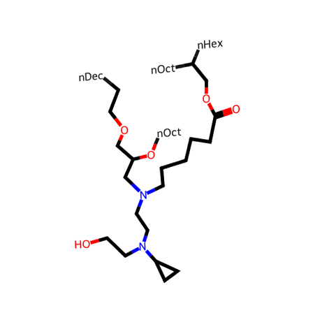 CCCCCCCCCCCCOCC(CN(CCCCCC(=O)OCC(CCCCCC)CCCCCCCC)CCN(CCO)C1CC1)OCCCCCCCC